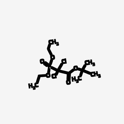 CCOP(=O)(OCC)C(Cl)(Cl)C(=O)OC(C)(C)C